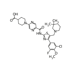 COc1c(F)cc(-c2nc(NC(=O)c3cnc(N4CCC(C(=O)O)CC4)cn3)sc2CN2CCCC(C)(C)C2)cc1Cl